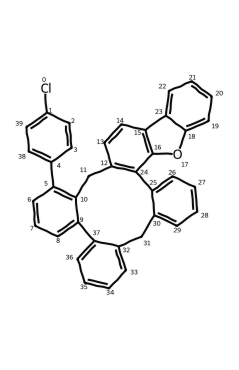 Clc1ccc(-c2cccc3c2Cc2ccc4c(oc5ccccc54)c2-c2ccccc2Cc2ccccc2-3)cc1